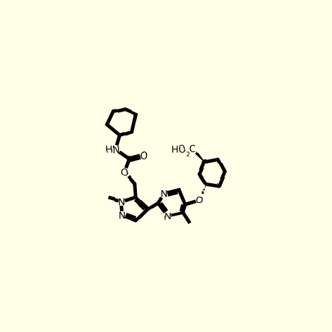 Cc1nc(-c2cnn(C)c2COC(=O)NC2CCCCC2)ncc1O[C@H]1CCC[C@H](C(=O)O)C1